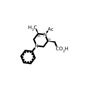 CC(=O)N1[C@@H](CC(=O)O)CN(c2ccccc2)C[C@H]1C